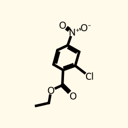 CCOC(=O)c1ccc([N+](=O)[O-])cc1Cl